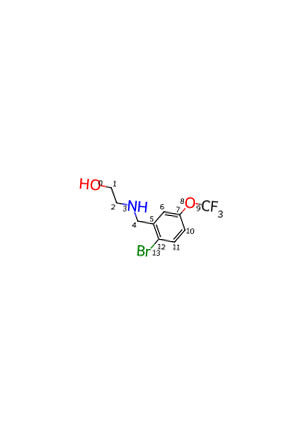 OCCNCc1cc(OC(F)(F)F)ccc1Br